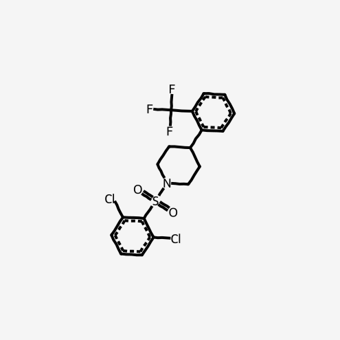 O=S(=O)(c1c(Cl)cccc1Cl)N1CCC(c2ccccc2C(F)(F)F)CC1